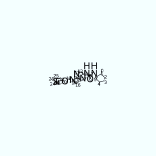 CC1CCCCC1NC(=O)Nc1cnc2c(ccn2COCC[Si](C)(C)C)n1